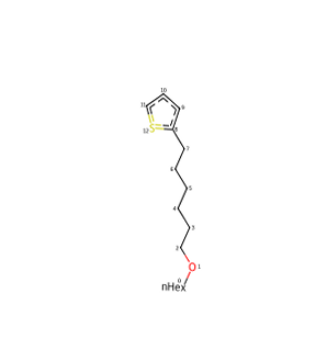 [CH2]CCCCCOCCCCCCc1cccs1